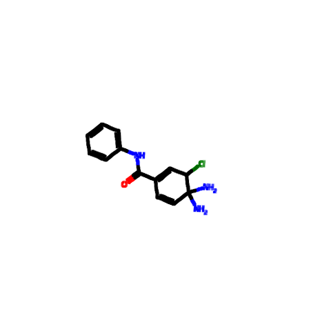 NC1(N)C=CC(C(=O)Nc2ccccc2)=CC1Cl